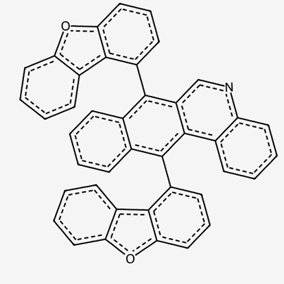 c1ccc2c(c1)ncc1c(-c3cccc4oc5ccccc5c34)c3ccccc3c(-c3cccc4oc5ccccc5c34)c12